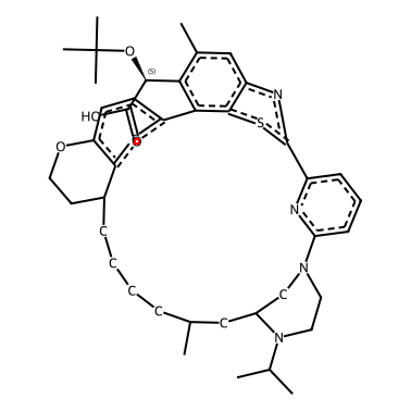 Cc1cc2nc3sc2c(c1[C@H](OC(C)(C)C)C(=O)O)-c1ccc2c(c1)C(CCCCC(C)CC1CN(CCN1C(C)C)c1cccc-3n1)CCO2